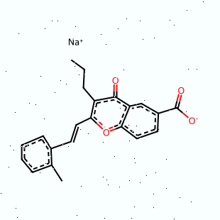 CCCc1c(C=Cc2ccccc2C)oc2ccc(C(=O)[O-])cc2c1=O.[Na+]